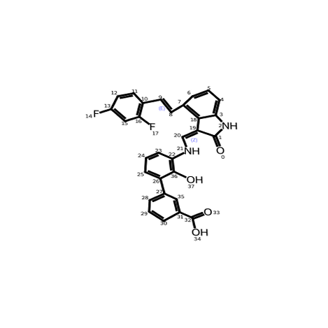 O=C1Nc2cccc(/C=C/c3ccc(F)cc3F)c2/C1=C/Nc1cccc(-c2cccc(C(=O)O)c2)c1O